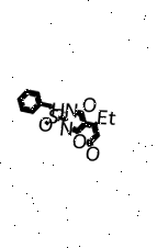 CCc1cc(=O)oc2nc([S+]([O-])Cc3ccccc3)[nH]c(=O)c12